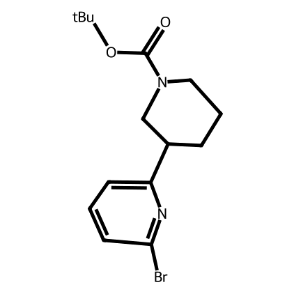 CC(C)(C)OC(=O)N1CCCC(c2cccc(Br)n2)C1